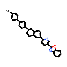 N#Cc1ccc(-c2ccc(-c3ccc4cc(-c5ccc(-c6nc7ccccc7o6)cn5)ccc4c3)cc2)cc1